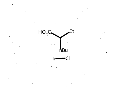 CCCCC(CC)C(=O)O.[Cl][Ti]